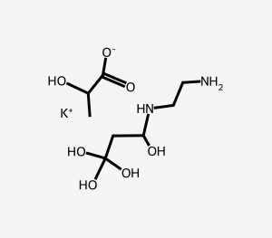 CC(O)C(=O)[O-].NCCNC(O)CC(O)(O)O.[K+]